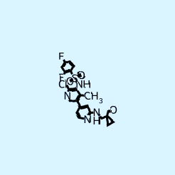 Cc1c(-c2ccnc(NCC3(C=O)CC3)c2)cnc(Cl)c1NS(=O)(=O)c1ccc(F)cc1F